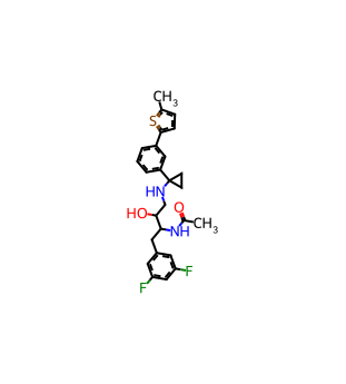 CC(=O)NC(Cc1cc(F)cc(F)c1)C(O)CNC1(c2cccc(-c3ccc(C)s3)c2)CC1